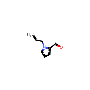 C=CCn1cccc1[C]=O